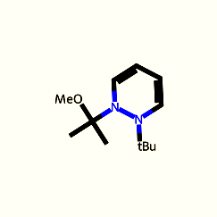 COC(C)(C)N1C=CC=CN1C(C)(C)C